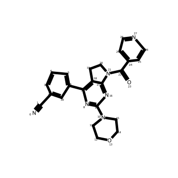 N#Cc1cccc(-c2nc(N3CCOCC3)nc3c2CCN3C(=O)c2ccncc2)c1